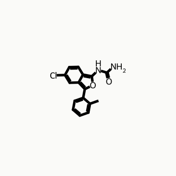 Cc1ccccc1-c1oc(NC(N)=O)c2ccc(Cl)cc12